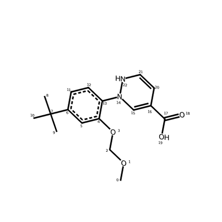 COCOc1cc(C(C)(C)C)ccc1N1C=C(C(=O)O)C=CN1